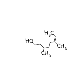 CC=C(C)CCC(C)CCO